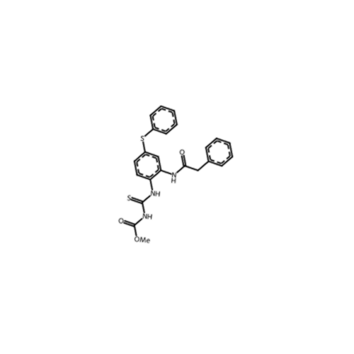 COC(=O)NC(=S)Nc1ccc(Sc2ccccc2)cc1NC(=O)Cc1ccccc1